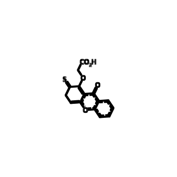 O=C(O)COC1=c2c(oc3ccccc3c2=O)=CCC1=S